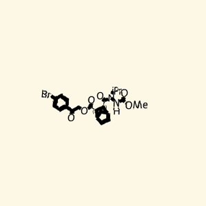 COC(=O)NN(C(=O)[C@@H]1C2C=CC(C2)[C@@H]1C(=O)OCC(=O)c1ccc(Br)cc1)C(C)C